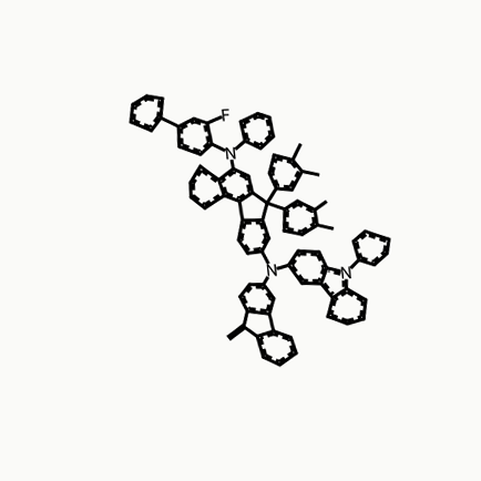 C=C1c2ccccc2-c2cc(N(c3ccc4c(c3)C(c3ccc(C)c(C)c3)(c3ccc(C)c(C)c3)c3cc(N(c5ccccc5)c5ccc(-c6ccccc6)cc5F)c5ccccc5c3-4)c3ccc4c(c3)c3ccccc3n4-c3ccccc3)ccc21